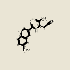 C#CC[C@@H](NC(=O)C1=Cc2cc(OC)ccc2OC1)C(N)=O